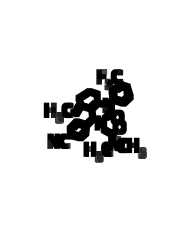 CC=C1CCCC2=C1C(c1ccc(C#N)cc1)N(CC(=O)N(C)C)C(=O)N2c1cccc(C(F)(F)F)c1